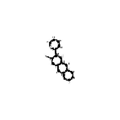 Cc1cc2cc3ccccc3cc2cc1-c1ccccn1